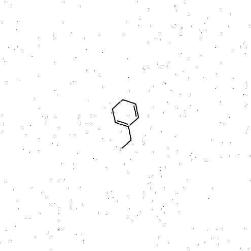 ICC1=CCCC=C1